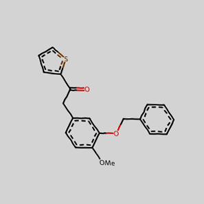 COc1ccc(CC(=O)c2cccs2)cc1OCc1ccccc1